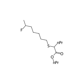 CCCOC(=O)C(CCC)SCCCCCC(C)F